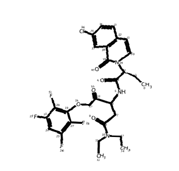 CC[C@@H](C(=O)NC(CC(=O)N(CC)CC)C(=O)COc1c(F)c(F)cc(F)c1F)n1ccc2ccc(Cl)cc2c1=O